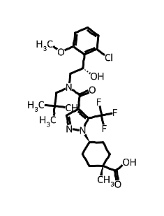 COc1cccc(Cl)c1[C@H](O)CN(CC(C)(C)C)C(=O)c1cnn([C@H]2CC[C@](C)(C(=O)O)CC2)c1C(F)(F)F